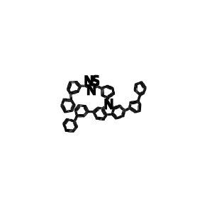 c1ccc(-c2cccc(-c3ccc4c5ccc(-c6cccc(-c7ccccc7)c6)cc5n(-c5cccc(-c6nc(-c7cccc(-c8ccccc8)c7)ns6)c5)c4c3)c2)cc1